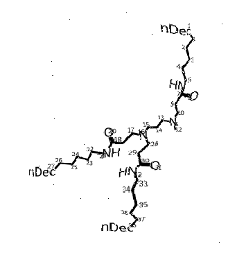 CCCCCCCCCCCCCCCNC(=O)CCN(C)CCCN(CCC(=O)NCCCCCCCCCCCCCCC)CCC(=O)NCCCCCCCCCCCCCCC